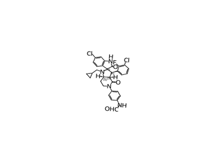 O=CNc1ccc(N2CC[C@H]3[C@@H](C2=O)[C@H](c2cccc(Cl)c2F)[C@]2(C(=O)Nc4cc(Cl)ccc42)N3CC2CC2)cc1